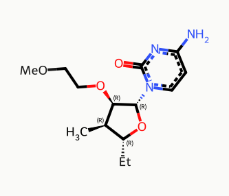 CC[C@H]1O[C@@H](n2ccc(N)nc2=O)[C@H](OCCOC)[C@@H]1C